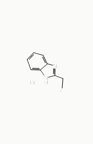 ClCc1nc2ccccc2[nH]1.F